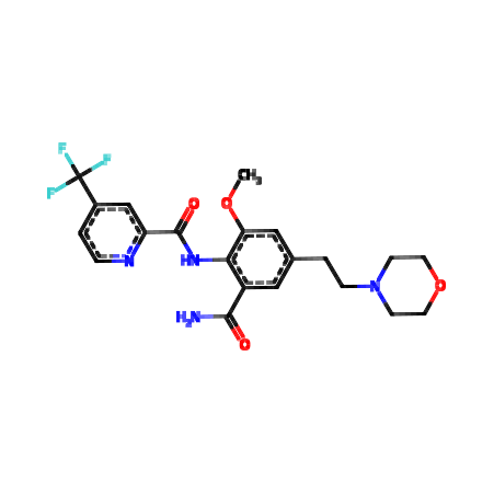 COc1cc(CCN2CCOCC2)cc(C(N)=O)c1NC(=O)c1cc(C(F)(F)F)ccn1